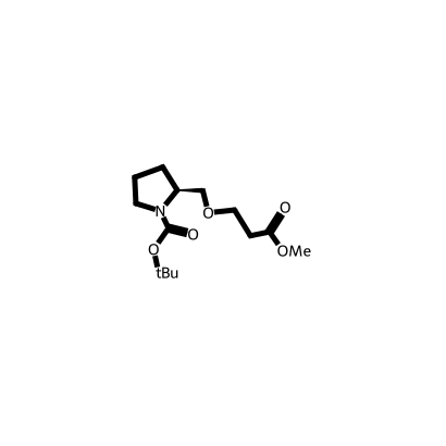 COC(=O)CCOC[C@@H]1CCCN1C(=O)OC(C)(C)C